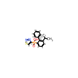 CC(C)c1cccc(P(=O)(O)c2csnn2)c1-c1ccccc1